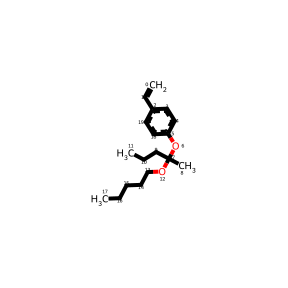 C=Cc1ccc(OC(C)(CCC)OCCCCC)cc1